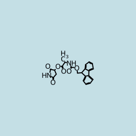 C[C@H](NC(=O)OCC1c2ccccc2-c2ccccc21)C(=O)OC1CC(=O)NC1=O